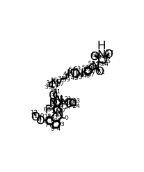 CCc1cccc2cc(OCOC)cc(-c3ncc4c(N5CC6CCC(C6)C5)nc(OC[C@@H]5CCCN5CCCCN5CCN(c6ccc7c(c6)CN([C@H]6CCC(=O)NC6=O)C7=O)CC5)nc4c3F)c12